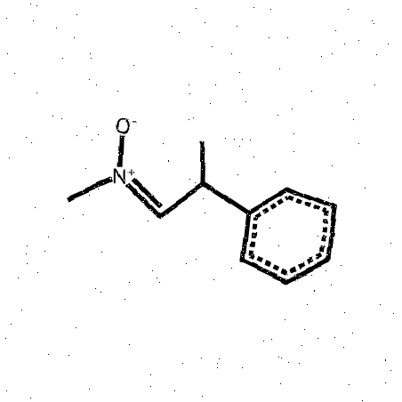 CC(C=[N+](C)[O-])c1ccccc1